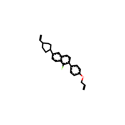 C=CCOc1ccc(-c2ccc3cc(C4CCC(C=C)CC4)ccc3c2F)cc1